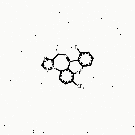 C[C@@H]1N=C(c2c(F)cccc2F)c2c(ccc(C(F)(F)F)c2Cl)-n2ncnc21